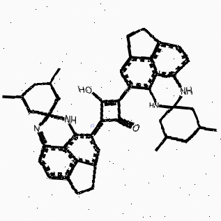 CC1CC(C)CC2(C1)N=c1ccc3c4c(c/c(=C5\C(=O)C(c6cc7c8c(ccc9c8c6NC6(CC(C)CC(C)C6)N9)CC7)=C5O)c(c14)N2)CC3